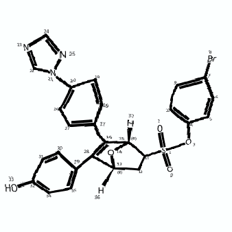 O=S(=O)(Oc1ccc(Br)cc1)C1C[C@H]2O[C@@H]1C(c1ccc(-n3cncn3)cc1)=C2c1ccc(O)cc1